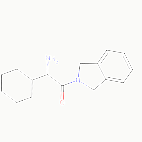 N[C@H](C(=O)N1Cc2ccccc2C1)C1CCCCC1